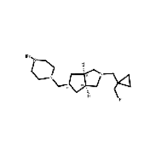 CC(C)CC1(CN2C[C@H]3C[C@@H](CN4CCN(C(C)C)CC4)C[C@H]3C2)CC1